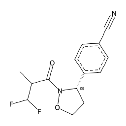 CC(C(=O)N1OCC[C@H]1c1ccc(C#N)cc1)C(F)F